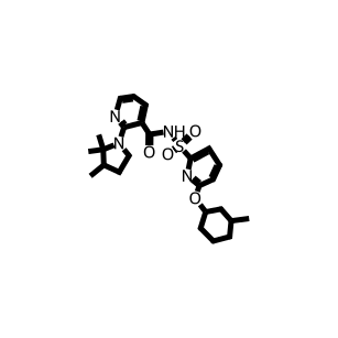 CC1CCCC(Oc2cccc(S(=O)(=O)NC(=O)c3cccnc3N3CCC(C)C3(C)C)n2)C1